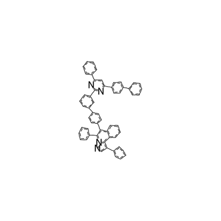 c1ccc(-c2ccc(-c3cc(-c4ccccc4)nc(-c4cccc(-c5ccc(-c6c(-c7ccccc7)n7ncc(-c8ccccc8)c7c7ccccc67)cc5)c4)n3)cc2)cc1